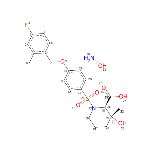 Cc1cc(F)ccc1COc1ccc(S(=O)(=O)N2CCC[C@@](C)(O)[C@@H]2C(=O)O)cc1.NO